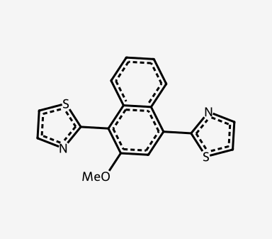 COc1cc(-c2nccs2)c2ccccc2c1-c1nccs1